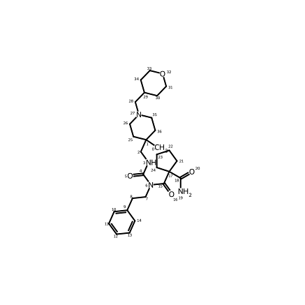 CC1(CNC(=O)N(CCc2ccccc2)C(=O)C2(C(N)=O)CCCC2)CCN(CC2CCOCC2)CC1